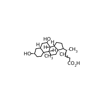 C[C@H](CCC(=O)O)C1CC[C@H]2[C@H]3[C@H](O)C[C@@H]4C[C@H](O)CC[C@]4(C)[C@H]3CC[C@]12C